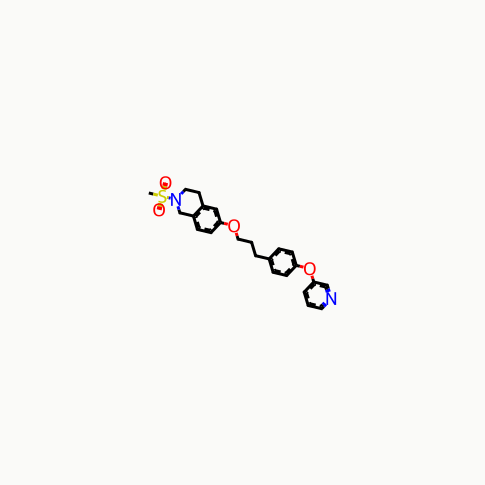 CS(=O)(=O)N1CCc2cc(OCCCc3ccc(Oc4cccnc4)cc3)ccc2C1